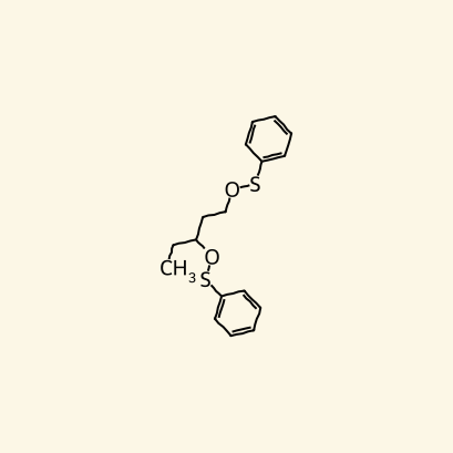 CCC(CCOSc1ccccc1)OSc1ccccc1